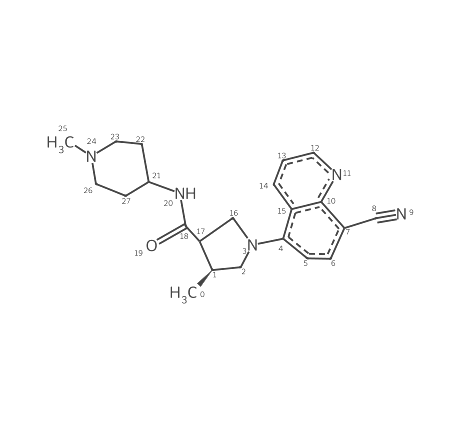 C[C@@H]1CN(c2ccc(C#N)c3ncccc23)CC1C(=O)NC1CCN(C)CC1